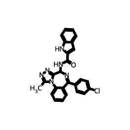 Cc1nnc2n1-c1ccccc1C(c1ccc(Cl)cc1)=NC2NC(=O)c1cc2ccccc2[nH]1